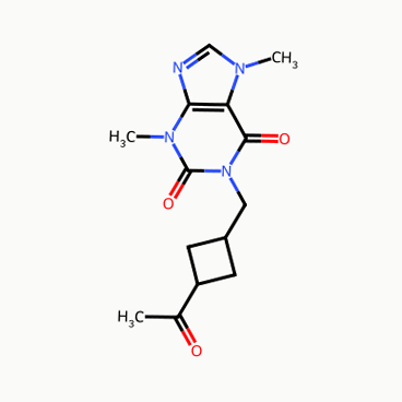 CC(=O)C1CC(Cn2c(=O)c3c(ncn3C)n(C)c2=O)C1